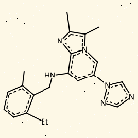 CCc1cccc(C)c1CNc1cc(-n2cncn2)cn2c(C)c(C)nc12